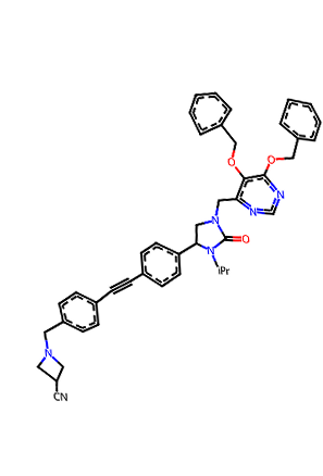 CC(C)N1C(=O)N(Cc2ncnc(OCc3ccccc3)c2OCc2ccccc2)CC1c1ccc(C#Cc2ccc(CN3CC(C#N)C3)cc2)cc1